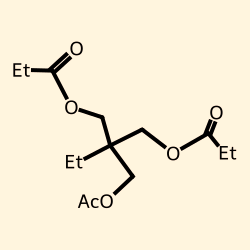 CCC(=O)OCC(CC)(COC(C)=O)COC(=O)CC